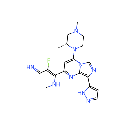 CN/C(=C(/F)C=N)c1cc(N2CCN(C)C[C@H]2C)n2cnc(-c3ccn[nH]3)c2n1